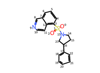 O=S(=O)(c1cccc2cnccc12)N1CCC(c2ccccc2)C1